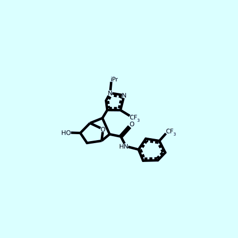 CC(C)n1cc(C2C3OC(CC3O)C2C(=O)Nc2cccc(C(F)(F)F)c2)c(C(F)(F)F)n1